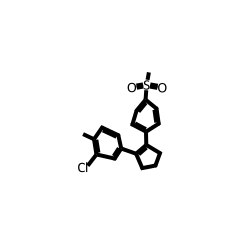 Cc1ccc(C2=C(c3ccc(S(C)(=O)=O)cc3)CCC2)cc1Cl